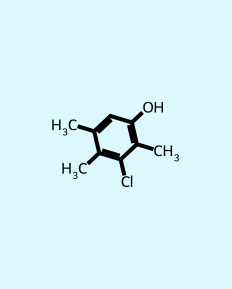 Cc1cc(O)c(C)c(Cl)c1C